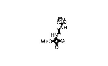 COc1c(NCCNC(=O)OC(C)(C)C)c(=O)c1=O